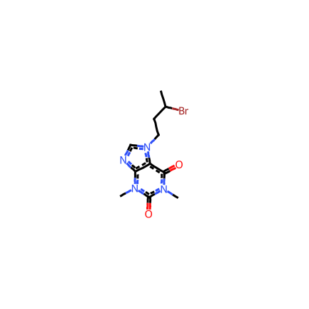 CC(Br)CCn1cnc2c1c(=O)n(C)c(=O)n2C